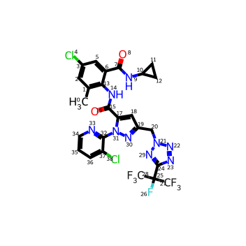 Cc1cc(Cl)cc(C(=O)NC2CC2)c1NC(=O)c1cc(Cn2nnc(C(F)(C(F)(F)F)C(F)(F)F)n2)nn1-c1ncccc1Cl